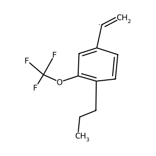 C=[C]c1ccc(CCC)c(OC(F)(F)F)c1